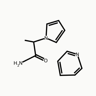 CC(C(N)=O)n1cccc1.c1ccncc1